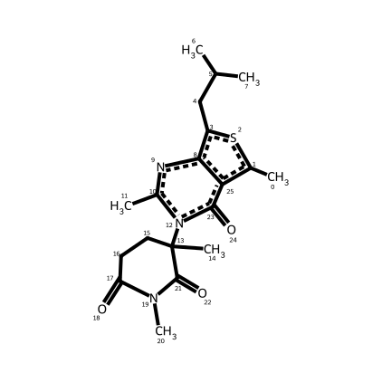 Cc1sc(CC(C)C)c2nc(C)n(C3(C)CCC(=O)N(C)C3=O)c(=O)c12